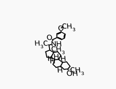 COc1cccc(C(=O)N[C@@H](C)C2CC[C@H]3[C@@H]4CC[C@@H]5C[C@](C)(O)CC[C@@H]5[C@H]4CC[C@]23C)c1